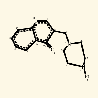 CCN1CCN(Cc2coc3ccccc3c2=O)CC1